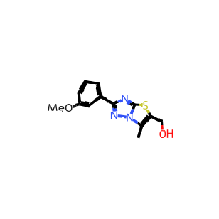 COc1cccc(-c2nc3sc(CO)c(C)n3n2)c1